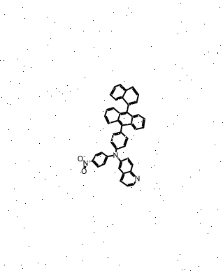 O=[N+]([O-])c1ccc(N(c2ccc(-c3c4ccccc4c(-c4cccc5ccccc45)c4ccccc34)cc2)c2ccc3ncccc3c2)cc1